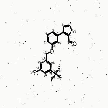 O=Cc1sccc1-c1cccc(OCc2cc(F)cc(C(F)(F)F)c2)c1